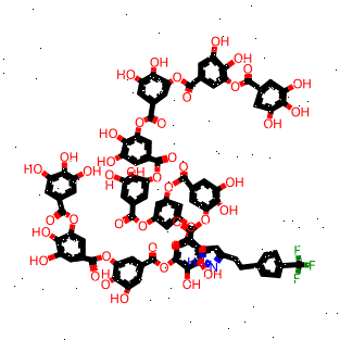 O=C(Oc1cc(OC(=O)c2cc(O)c(O)c(OC(=O)c3cc(O)c(O)c(OC(=O)c4cc(O)c(O)c(OC(=O)c5cc(O)c(O)c(OC(=O)c6cc(O)c(O)c(O)c6)c5)c4)c3)c2)cc(OC(=O)c2cc(CCc3ccc(C(F)(F)F)cc3)n[nH]2)c1)c1cc(O)c(O)c(OC(=O)c2cc(O)c(O)c(OC(=O)c3cc(O)c(O)c(OC(=O)c4cc(O)c(O)c(OC(=O)c5cc(O)c(O)c(O)c5)c4)c3)c2)c1